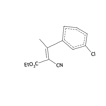 CCOC(=O)C(C#N)=C(C)c1cccc(Cl)c1